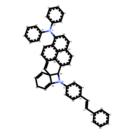 C1=CC23C=c4ccc5c(N(c6ccccc6)c6ccccc6)ccc6ccc(c4c65)C2N(c2ccc(C=Cc4ccccc4)cc2)C3=CC1